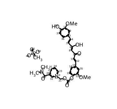 COc1cc(C=CC(O)=CC(=O)C=Cc2ccc(OC(=O)OC[n+]3cccc(C(=O)N(C)C)c3)c(OC)c2)ccc1O.CS(=O)(=O)[O-]